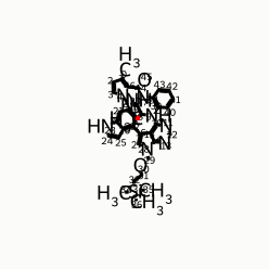 Cc1ccn2nc(C(C)Nc3ncnc4c3c(-c3cc(N)cc5[nH]ccc35)cn4COCC[Si](C)(C)C)n(-c3ccccc3)c(=O)c12